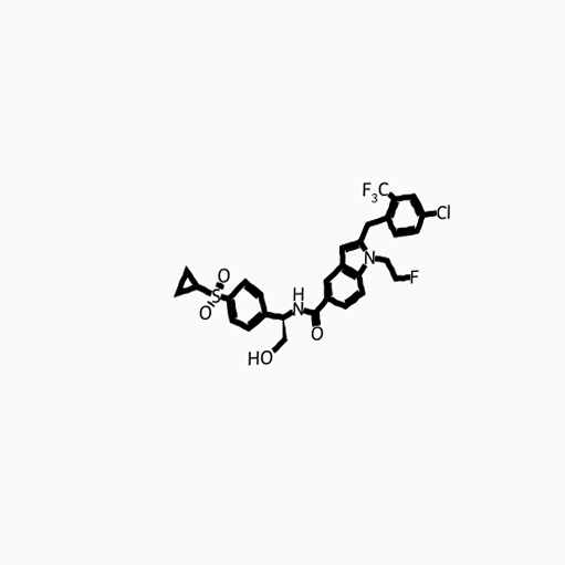 O=C(N[C@@H](CO)c1ccc(S(=O)(=O)C2CC2)cc1)c1ccc2c(c1)cc(Cc1ccc(Cl)cc1C(F)(F)F)n2CCF